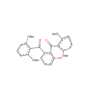 COc1cccc(OC)c1C(=O)c1cccc(O)c1C(=O)c1c(OC)cccc1OC